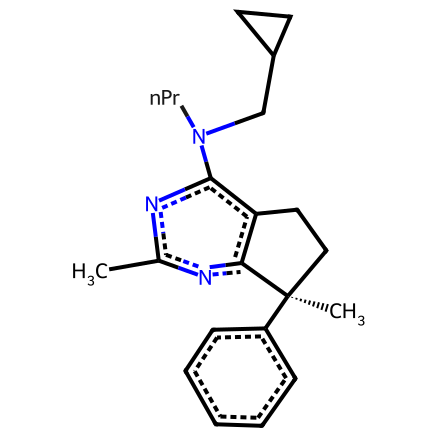 CCCN(CC1CC1)c1nc(C)nc2c1CC[C@@]2(C)c1ccccc1